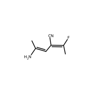 C/C(F)=C(C#N)\C=C(/C)N